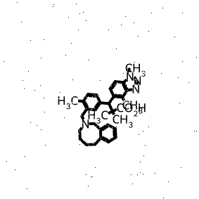 Cc1ccc(C(c2ccc3c(nnn3C)c2C)C(C)(C)C(=O)O)cc1CN1CCCCc2ccccc2C1